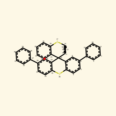 c1ccc(-c2ccc3c(c2)C2(c4ccccc4Sc4ccccc42)c2cc(-c4ccccc4)ccc2S3)cc1